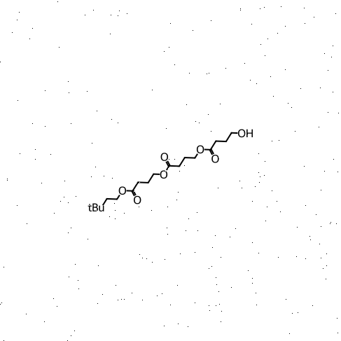 CC(C)(C)CCOC(=O)CCCOC(=O)CCCOC(=O)CCCO